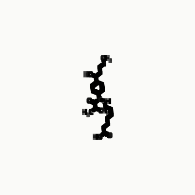 CSCCC(O)c1ccc(N(NC/C=C\CCCC(=O)O)C(=O)C(C)C)cc1